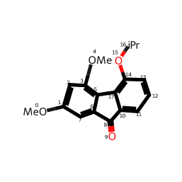 COc1cc(OC)c2c(c1)C(=O)c1cccc(OC(C)C)c1-2